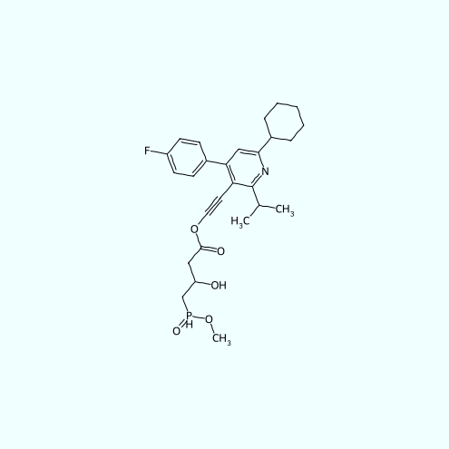 CO[PH](=O)CC(O)CC(=O)OC#Cc1c(-c2ccc(F)cc2)cc(C2CCCCC2)nc1C(C)C